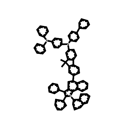 CC1(C)c2cc(-c3cc4c(-c5ccccc5)c(-c5ccccc5)n(-c5cccc6ccccc56)c4c4ccccc34)ccc2-c2ccc(N(c3ccc(-c4ccccc4)cc3)c3ccc(N(c4ccccc4)c4ccccc4)cc3)cc21